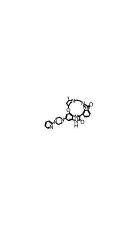 C[C@@H]1CC2CN1CCn1[nH]c3c(cccc3c1=O)-c1nc3c(cc(N4CCN(c5ccccn5)CC4)cc3[nH]c1=O)O2